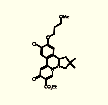 CCOC(=O)c1cn2c(cc1=O)-c1cc(Cl)c(OCCCOC)cc1C1CC(C)(C)CN12